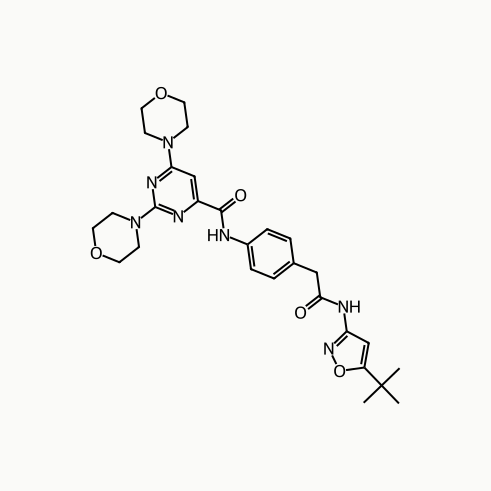 CC(C)(C)c1cc(NC(=O)Cc2ccc(NC(=O)c3cc(N4CCOCC4)nc(N4CCOCC4)n3)cc2)no1